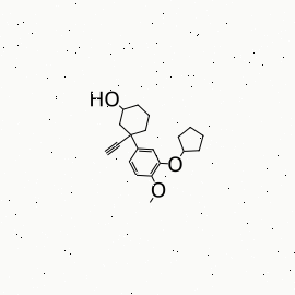 C#CC1(c2ccc(OC)c(OC3CCCC3)c2)CCCC(O)C1